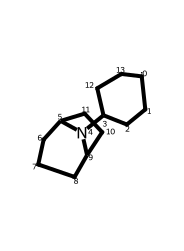 [CH]1CCC(N2C3CCCC2CC3)CC1